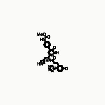 COC(=O)Nc1ccc(-c2cc(C(CC3CNC3)NC(=O)C=Cc3cc(Cl)ccc3-n3cnnn3)n[nH]c2=O)cc1